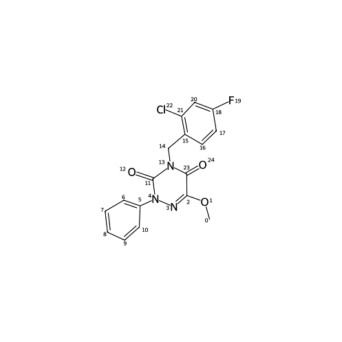 COc1nn(-c2ccccc2)c(=O)n(Cc2ccc(F)cc2Cl)c1=O